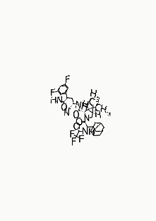 CC1(C)[C@@H]2[C@@H](C(=O)N[C@H](C#N)CC3C(=O)Nc4c(F)cc(F)cc43)N(C(=O)C(NC(=O)C(F)(F)F)C34CC5CC(CC(C5)C3)C4)C[C@@H]21